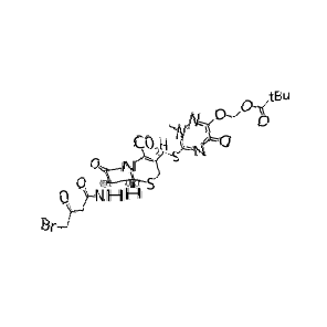 Cn1nc(OCOC(=O)C(C)(C)C)c(=O)nc1SCC1=C(C(=O)O)N2C(=O)[C@@H](NC(=O)CC(=O)CBr)[C@H]2SC1